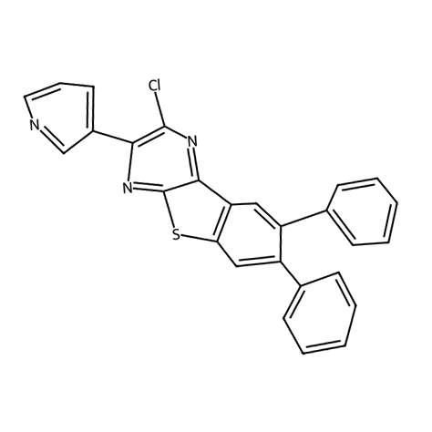 Clc1nc2c(nc1-c1cccnc1)sc1cc(-c3ccccc3)c(-c3ccccc3)cc12